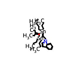 CCC[CH2][Sn](/[CH]=[C](/Cn1ccc2ccccc21)[Sn]([CH2]CCC)([CH2]CCC)[CH2]CCC)([CH2]CCC)[CH2]CCC